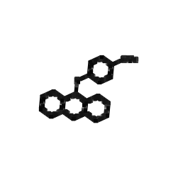 COc1ccc(Sc2c3ccccc3cc3ccccc23)cc1